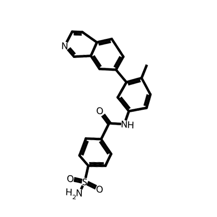 Cc1ccc(NC(=O)c2ccc(S(N)(=O)=O)cc2)cc1-c1ccc2ccncc2c1